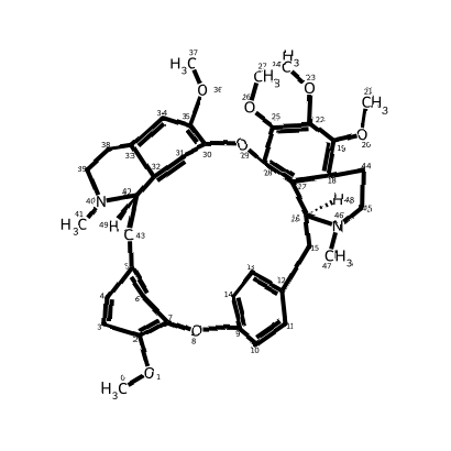 COc1ccc2cc1Oc1ccc(cc1)C[C@H]1c3c(c(OC)c(OC)c(OC)c3Oc3cc4c(cc3OC)CCN(C)[C@H]4C2)CCN1C